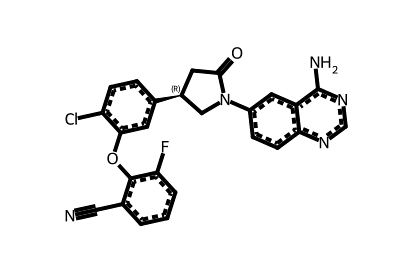 N#Cc1cccc(F)c1Oc1cc([C@H]2CC(=O)N(c3ccc4ncnc(N)c4c3)C2)ccc1Cl